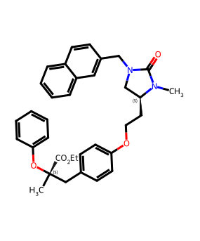 CCOC(=O)[C@](C)(Cc1ccc(OCC[C@H]2CN(Cc3ccc4ccccc4c3)C(=O)N2C)cc1)Oc1ccccc1